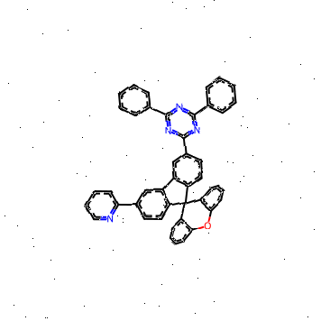 c1ccc(-c2nc(-c3ccccc3)nc(-c3ccc4c(c3)-c3cc(-c5ccccn5)ccc3C43c4ccccc4Oc4ccccc43)n2)cc1